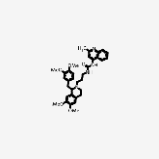 COc1ccc(CC2c3cc(OC)c(OC)cc3CCN2CCCNC(=O)Nc2cc(C)nc3ccccc23)cc1OC